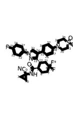 N#CC1(NC(=O)[C@@H]2CCC(F)(F)C[C@H]2c2nn(-c3ccc(F)cc3)cc2-c2ccc(N3CCS(O)(O)CC3)cc2)CC1